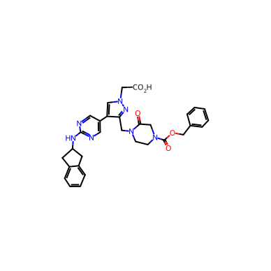 O=C(O)Cn1cc(-c2cnc(NC3Cc4ccccc4C3)nc2)c(CN2CCN(C(=O)OCc3ccccc3)CC2=O)n1